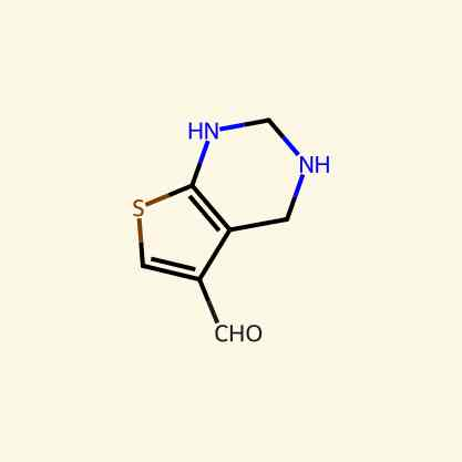 O=Cc1csc2c1CNCN2